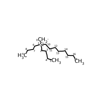 [CH2][Si](CCCC)(CCCC)CCCCCCCC